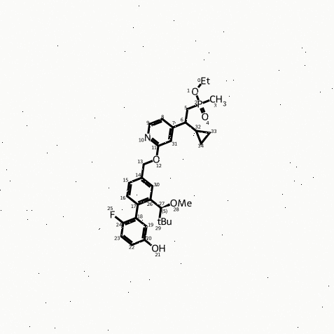 CCOP(C)(=O)CC(c1ccnc(OCc2ccc(-c3cc(O)ccc3F)c([C@@H](OC)C(C)(C)C)c2)c1)C1CC1